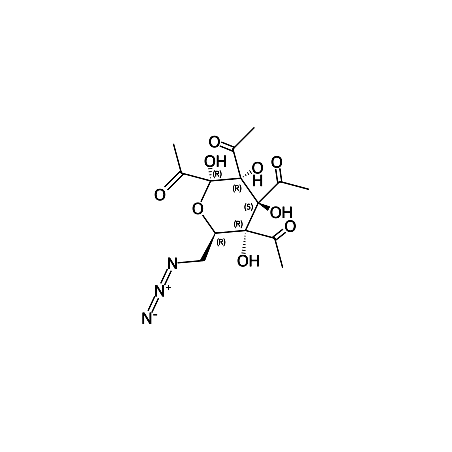 CC(=O)[C@@]1(O)[C@](O)(C(C)=O)[C@@](O)(C(C)=O)[C@@H](CN=[N+]=[N-])O[C@@]1(O)C(C)=O